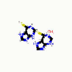 O.S=c1nc[nH]c2nc[nH]c12.S=c1nc[nH]c2nc[nH]c12